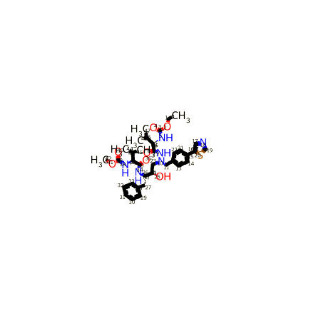 CCOC(=O)N[C@H](C(=O)NN(Cc1ccc(-c2cncs2)cc1)C[C@H](O)[C@H](Cc1ccccc1)NC(=O)[C@@H](NC(=O)OC)C(C)C)C(C)C